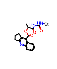 CCNC(=O)NC(=O)C(C)OC(=O)c1c2c(nc3ccccc13)CCC2